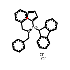 C1=CC[C]([Zr+2]([CH]2c3ccccc3-c3ccccc32)=[Si](Cc2ccccc2)Cc2ccccc2)=C1.[Cl-].[Cl-]